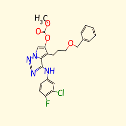 COC(=O)Oc1cn2ncnc(Nc3ccc(F)c(Cl)c3)c2c1CCCOCc1ccccc1